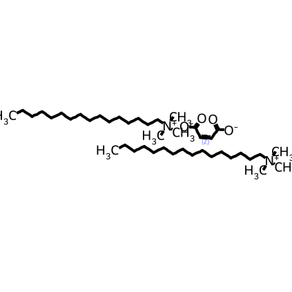 CCCCCCCCCCCCCCCC[N+](C)(C)C.CCCCCCCCCCCCCCCC[N+](C)(C)C.O=C([O-])/C=C\C(=O)[O-]